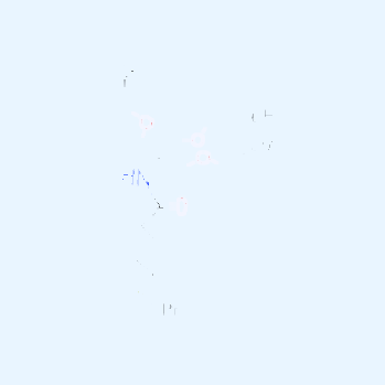 C#CCOCC(COCC#C)(COCC#C)NC(=O)CCCCSCCC